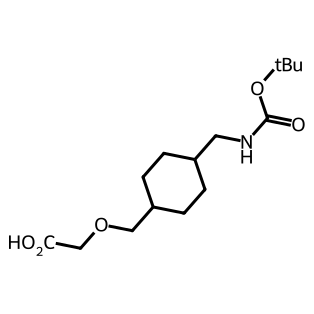 CC(C)(C)OC(=O)NCC1CCC(COCC(=O)O)CC1